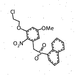 COc1cc(CS(=O)(=O)c2cccc3ccccc23)c([N+](=O)[O-])c(OCCCl)c1